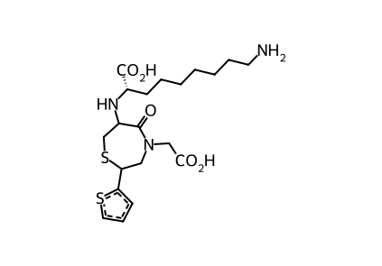 NCCCCCCC[C@H](NC1CSC(c2cccs2)CN(CC(=O)O)C1=O)C(=O)O